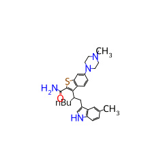 CCCCC(Cc1c[nH]c2ccc(C)cc12)c1c(C(N)=O)sc2cc(N3CCN(C)CC3)ccc12